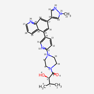 CC(C)[C@@H](O)C(=O)N1CCN(c2ccc(-c3cc(-c4cnn(C)c4)cc4ncccc34)cn2)CC1